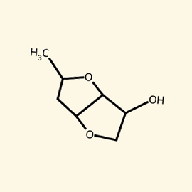 CC1CC2OCC(O)C2O1